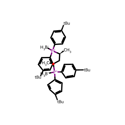 [BH3-][P+](c1ccc(C(C)(C)C)cc1)(c1ccc(C(C)(C)C)cc1)[C@@H](C)C[C@H](C)[P+]([BH3-])(c1ccc(C(C)(C)C)cc1)c1ccc(C(C)(C)C)cc1